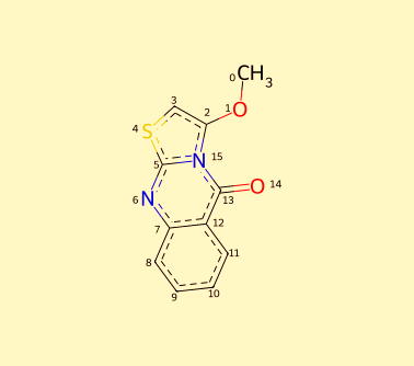 COc1csc2nc3ccccc3c(=O)n12